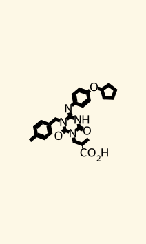 Cc1ccc(Cn2c(=O)n(C[C@H](C)C(=O)O)c(=O)[nH]/c2=N\c2ccc(OC3CCCC3)cc2)cc1